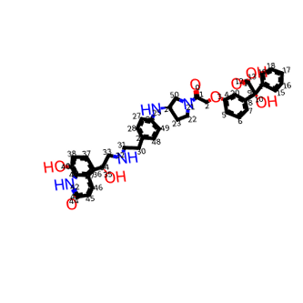 O=C(COc1cccc([C@](O)(C(=O)O)c2ccccc2)c1)N1CC[C@@H](Nc2ccc(CCNC[C@H](O)c3ccc(O)c4[nH]c(=O)ccc34)cc2)C1